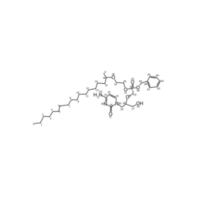 CCCCCCCCCCCCCCCCC(C)OCCOP(=O)(COC(CO)Cn1ccc(N)nc1=O)OCc1ccccc1